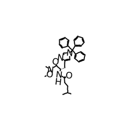 CON(C)C(=O)[C@H](Cc1cn(C(c2ccccc2)(c2ccccc2)c2ccccc2)cn1)NC(=O)CCC(C)C